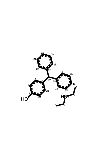 CCNCC.Oc1ccc(C(c2ccccc2)c2ccccc2)cc1